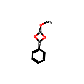 [SiH3]O[SiH]1O[SiH](c2ccccc2)O1